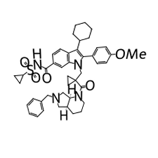 COc1ccc(-c2c(C3CCCCC3)c3ccc(C(=O)NS(=O)(=O)C4CC4)cc3n2CC2(C(=O)N3CCC[C@H]4CN(Cc5ccccc5)C[C@H]43)CC2)cc1